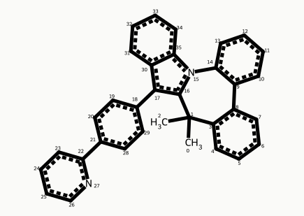 CC1(C)c2ccccc2-c2ccccc2-n2c1c(-c1ccc(-c3ccccn3)cc1)c1ccccc12